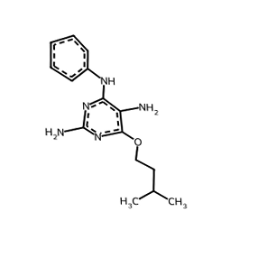 CC(C)CCOc1nc(N)nc(Nc2ccccc2)c1N